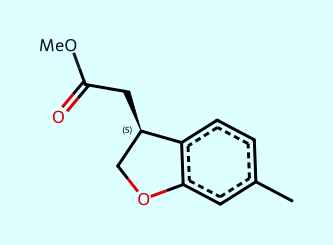 COC(=O)C[C@@H]1COc2cc(C)ccc21